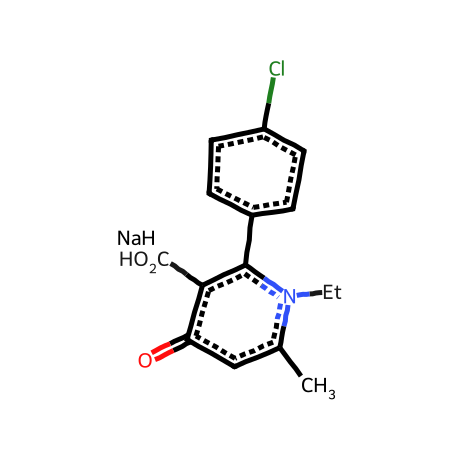 CCn1c(C)cc(=O)c(C(=O)O)c1-c1ccc(Cl)cc1.[NaH]